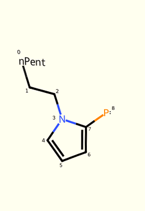 CCCCCCCn1cccc1[P]